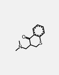 CN(C)CC1CSc2ccccc2C1=O